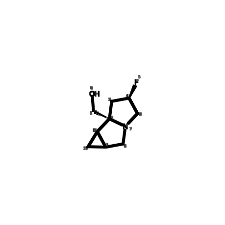 OC[C@]12C[C@@H](F)CN1CC1CC12